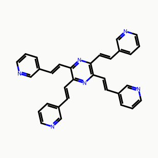 C(=C\c1nc(/C=C/c2cccnc2)c(/C=C/c2cccnc2)nc1/C=C/c1cccnc1)/c1cccnc1